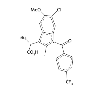 CCC(C)[C@@H](C(=O)O)c1c(C)n(C(=O)c2ccc(C(F)(F)F)cc2)c2cc(Cl)c(OC)cc12